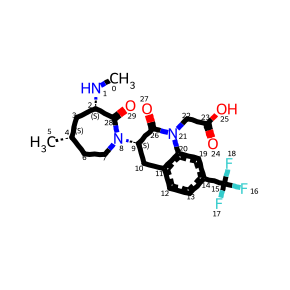 CN[C@H]1C[C@@H](C)CCN([C@H]2Cc3ccc(C(F)(F)F)cc3N(CC(=O)O)C2=O)C1=O